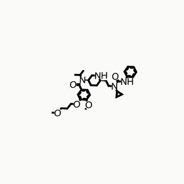 COCCCOc1cc(C(=O)N(C(C)C)[C@@H]2CC[C@H](CCN(C(=O)Nc3ccccc3)C3CC3)NC2)ccc1OC